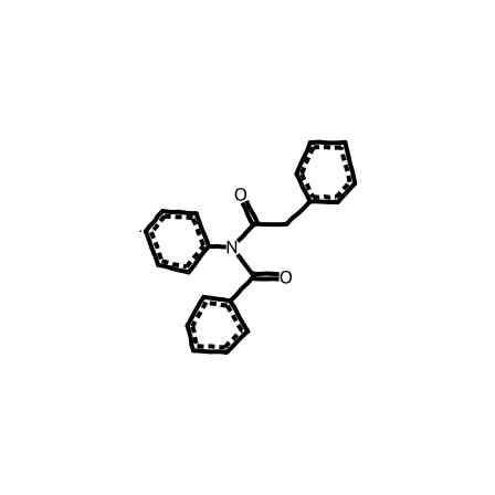 O=C(Cc1ccccc1)N(C(=O)c1ccccc1)c1cc[c]cc1